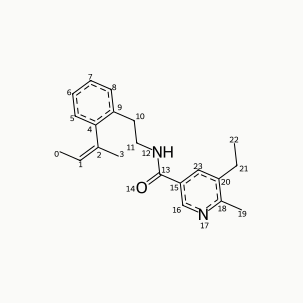 C/C=C(/C)c1ccccc1CCNC(=O)c1cnc(C)c(CC)c1